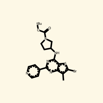 Cc1c(Br)sc2c(NC3CCN(C(=O)OC(C)(C)C)C3)nc(-c3ccncc3)nc12